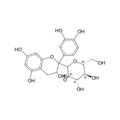 OC[C@H]1OC(C2(c3ccc(O)c(O)c3)Oc3cc(O)cc(O)c3CC2O)[C@H](O)[C@@H](O)[C@@H]1O